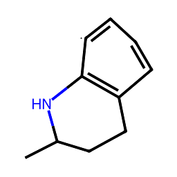 CC1CCc2ccc[c]c2N1